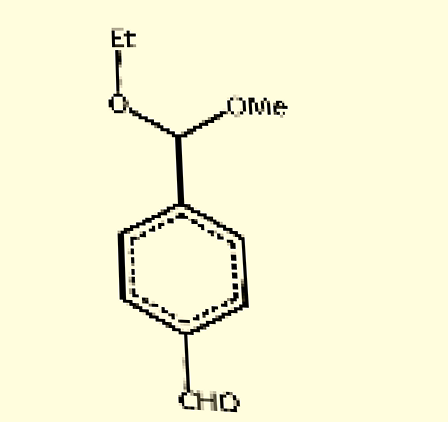 CCOC(OC)c1ccc(C=O)cc1